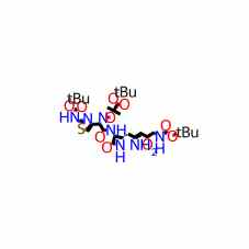 CC(C)(C)OC(=O)NCC(=O)/C=C(\N)C[C@@H]1NC(=O)C1NC(=O)/C(=N\OC(C)(C)C(=O)OC(C)(C)C)c1csc(NC(=O)OC(C)(C)C)n1